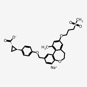 Cc1cc(OCCCS(C)(=O)=O)cc2c1-c1cc(COc3ccc([C@H]4C[C@@H]4C(=O)[O-])cc3)ccc1OCC2.[Na+]